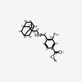 COC(=O)c1ccc(CNCC23CC4CC(CC(C4)C2)C3)c(F)c1